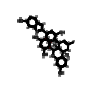 CC1=C[C@H]2c3c(O)cc(-c4cc5ccc(O)cc5o4)cc3O[C@]3(c4ccc(O)cc4O)Oc4cc(O)ccc4[C@H](C1)[C@@H]23